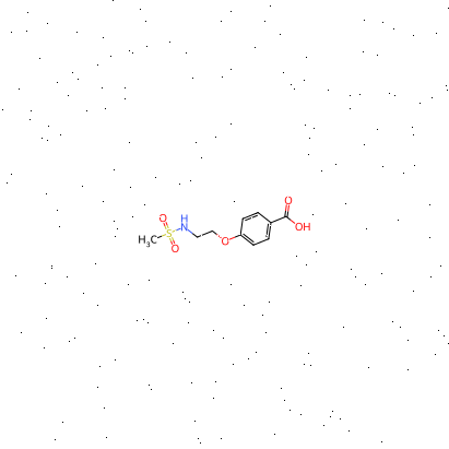 CS(=O)(=O)NCCOc1ccc(C(=O)O)cc1